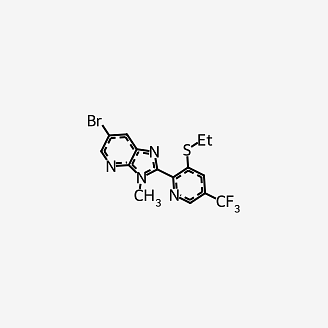 CCSc1cc(C(F)(F)F)cnc1-c1nc2cc(Br)cnc2n1C